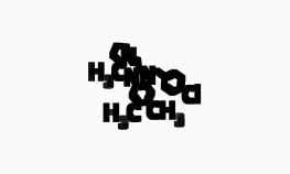 Cc1cc2nc(CN3CCC[C@H]3C)n(Cc3ccc(Cl)cc3)c2cc1C